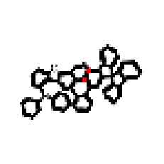 c1ccc(N(c2ccccc2)c2cccc3oc4c5ccccc5c(-c5ccccc5-c5ccc6c(c5)C5(c7ccccc7-c7ccccc75)c5ccccc5-6)cc4c23)cc1